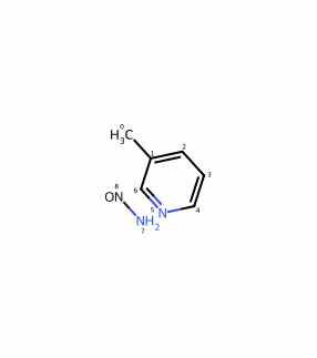 Cc1cccnc1.NN=O